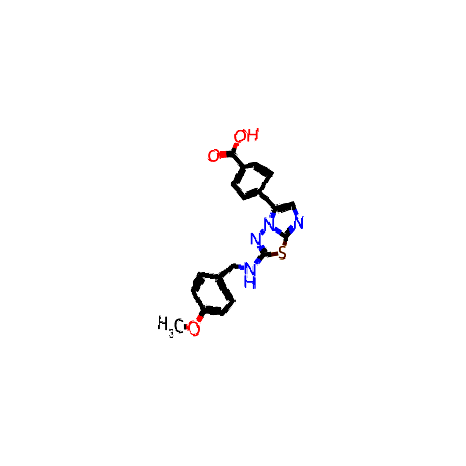 COc1ccc(CNc2nn3c(-c4ccc(C(=O)O)cc4)cnc3s2)cc1